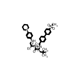 CC[C@@H](CNc1ccc(N2CCCCC2)cc1)NC(=O)[C@H](CC(C)(C)F)N[C@@H](c1ccc(-c2ccc(S(C)(=O)=O)cc2)cc1)C(F)(F)F